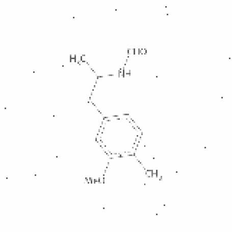 COc1cc(CC(C)NC=O)ccc1C